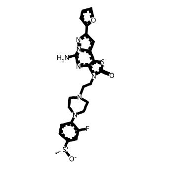 C[S@@+]([O-])c1ccc(N2CCN(CCn3c(=O)sc4c3nc(N)n3nc(-c5ccco5)cc43)CC2)c(F)c1